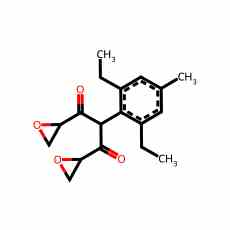 CCc1cc(C)cc(CC)c1C(C(=O)C1CO1)C(=O)C1CO1